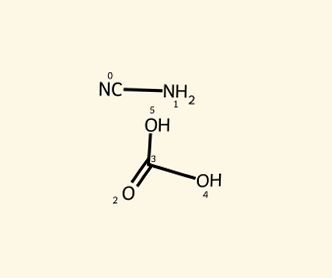 N#CN.O=C(O)O